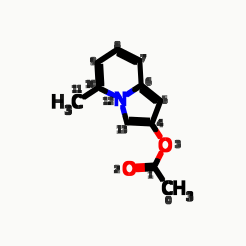 CC(=O)Oc1cc2cccc(C)n2c1